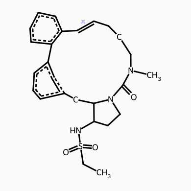 CCS(=O)(=O)NC1CCN2C(=O)N(C)CCC/C=C/c3ccccc3-c3cccc(c3)CC12